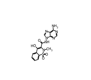 CN1C(C(=O)Nn2cnc3c(N)ncnc32)=C(O)c2ccccc2S1(=O)=O